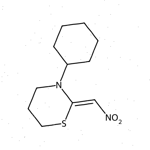 O=[N+]([O-])C=C1SCCCN1C1CCCCC1